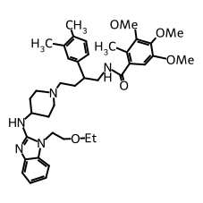 CCOCCn1c(NC2CCN(CCC(CNC(=O)c3cc(OC)c(OC)c(OC)c3C)c3ccc(C)c(C)c3)CC2)nc2ccccc21